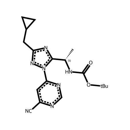 C[C@H](NC(=O)OC(C)(C)C)c1nc(CC2CC2)nn1-c1cc(C#N)ncn1